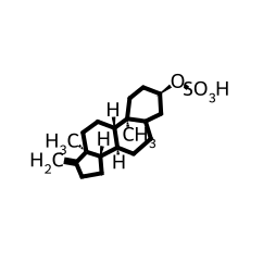 C=C1CC[C@H]2[C@@H]3CCC4C[C@H](OS(=O)(=O)O)CC[C@]4(C)[C@H]3CC[C@]12C